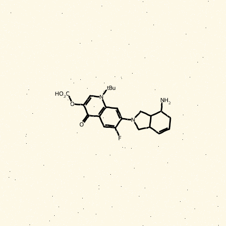 CC(C)(C)n1cc(OC(=O)O)c(=O)c2cc(F)c(N3CC4C=CCC(N)C4C3)cc21